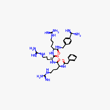 N=C(N)NCCCC(NC(=O)Cc1ccccc1)C(=O)N[C@@H](CCCNC(=N)N)C(=O)NC(CCCNC(=N)N)C(=O)NCc1ccc(C(=N)N)cc1